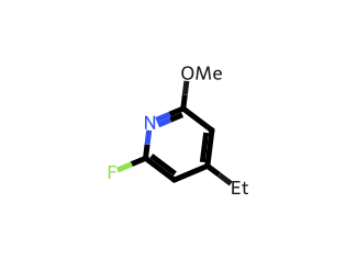 CCc1cc(F)nc(OC)c1